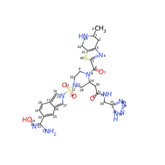 CC1Cc2nc(C(=O)N3CCN(S(=O)(=O)n4cc5ccc(/C(N)=N\O)cc5c4)CC3CC(=O)NCc3nnn[nH]3)sc2CN1